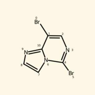 Brc1cnc(Br)n2ccnc12